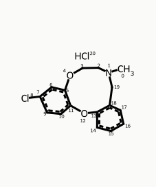 CN1CCOc2cc(Cl)ccc2Oc2ccccc2C1.Cl